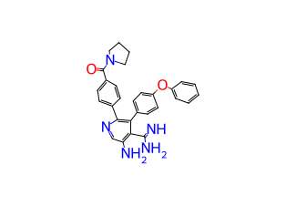 N=C(N)c1c(N)cnc(-c2ccc(C(=O)N3CCCC3)cc2)c1-c1ccc(Oc2ccccc2)cc1